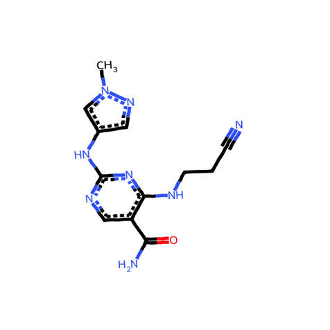 Cn1cc(Nc2ncc(C(N)=O)c(NCCC#N)n2)cn1